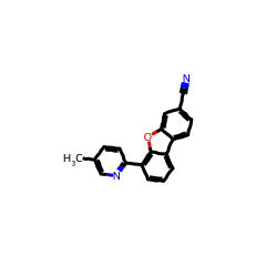 Cc1ccc(-c2cccc3c2oc2cc(C#N)ccc23)nc1